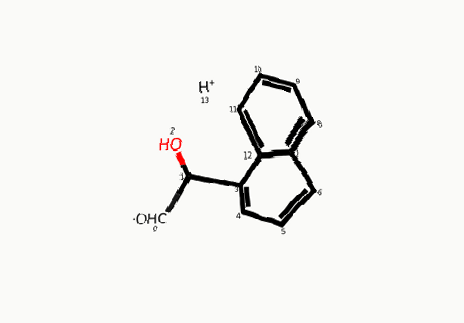 O=[C]C(O)c1cccc2ccccc12.[H+]